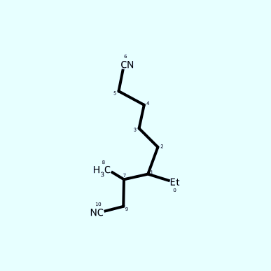 CC[C](CCCCC#N)C(C)CC#N